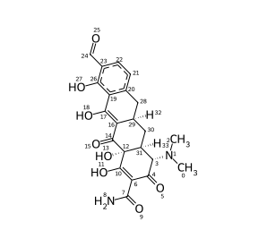 CN(C)[C@@H]1C(=O)C(C(N)=O)=C(O)[C@@]2(O)C(=O)C3=C(O)c4c(ccc(C=O)c4O)C[C@H]3C[C@@H]12